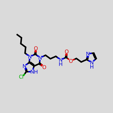 CCCCCn1c(=O)n(CCCNC(=O)OCCc2ncc[nH]2)c(=O)c2[nH]c(Cl)nc21